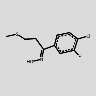 CSCCC(=NO)c1ccc(Cl)c(F)c1